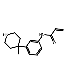 C=CC(=O)Nc1[c]ccc(C2(C)CCNCC2)c1